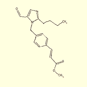 CCCCc1ncc(C=O)n1Cc1ccc(C=CC(=O)OC)cc1